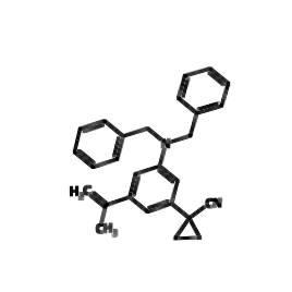 C=C(C)c1cc(N(Cc2ccccc2)Cc2ccccc2)cc(C2(C#N)CC2)c1